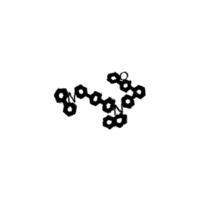 c1cc(-c2ccc(-c3ccc(N(c4ccc(-c5ccccc5-c5ccc6c(c5)oc5ccccc56)cc4)c4cccc5ccccc45)cc3)cc2)cc(-n2c3ccccc3c3ccccc32)c1